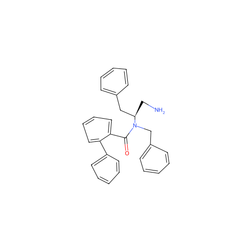 NC[C@H](Cc1ccccc1)N(Cc1ccccc1)C(=O)c1ccccc1-c1ccccc1